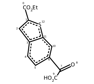 CCOC(=O)c1cc2ccc(C(=O)C(=O)O)cc2s1